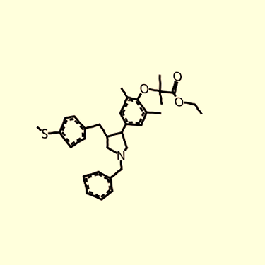 CCOC(=O)C(C)(C)Oc1c(C)cc(C2CN(Cc3ccccc3)CC2Cc2ccc(SC)cc2)cc1C